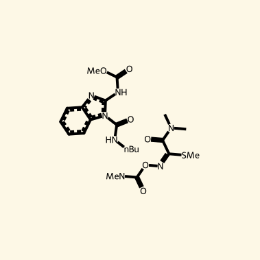 CCCCNC(=O)n1c(NC(=O)OC)nc2ccccc21.CNC(=O)ON=C(SC)C(=O)N(C)C